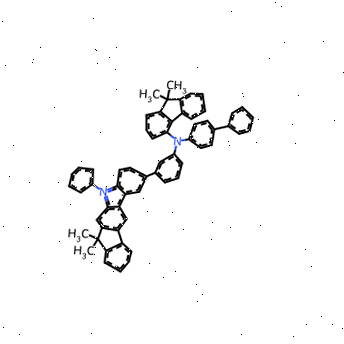 CC1(C)c2ccccc2-c2cc3c4cc(-c5cccc(N(c6ccc(-c7ccccc7)cc6)c6cccc7c6-c6ccccc6C7(C)C)c5)ccc4n(-c4ccccc4)c3cc21